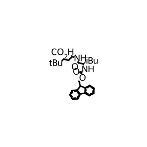 CC[C@H](C)[C@H](NC(=O)OCC1c2ccccc2-c2ccccc21)C(=O)N[C@@H](CCC(C)(C)C)C(=O)O